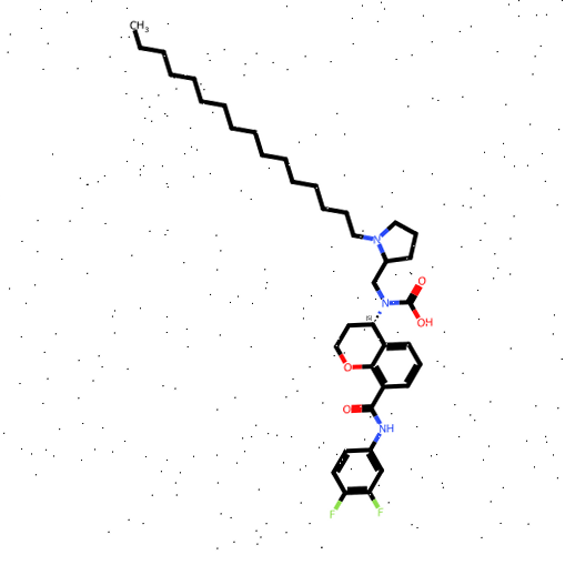 CCCCCCCCCCCCCCCCN1CCCC1CN(C(=O)O)[C@H]1CCOc2c(C(=O)Nc3ccc(F)c(F)c3)cccc21